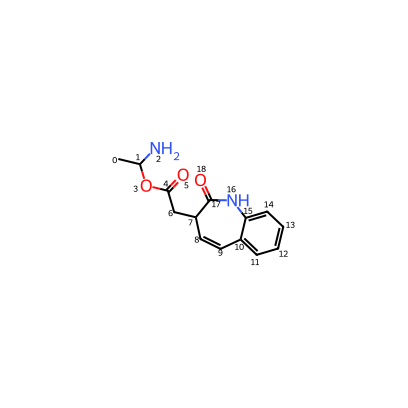 CC(N)OC(=O)CC1C=Cc2ccccc2NC1=O